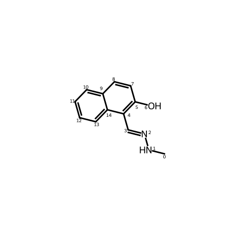 CN/N=C/c1c(O)ccc2ccccc12